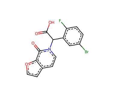 O=C(O)C(c1cc(Br)ccc1F)n1ccc2ccoc2c1=O